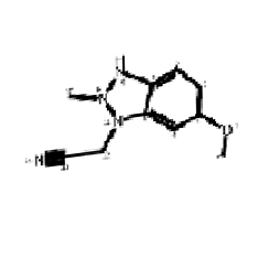 COC1C=C2C(=CC1)NN(C)N2CC#N